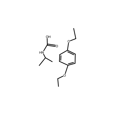 CC(C)NC(=O)O.CCOc1ccc(OCC)cc1